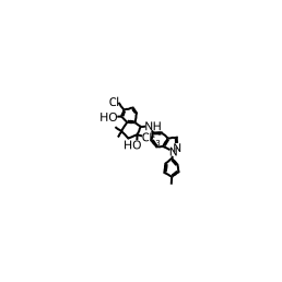 Cc1ccc(-n2ncc3cc(NC4c5ccc(Cl)c(O)c5C(C)(C)CC4(O)C(F)(F)F)ccc32)cc1